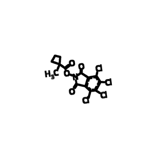 CC1(C(=O)ON2C(=O)c3c(Cl)c(Cl)c(Cl)c(Cl)c3C2=O)CCC1